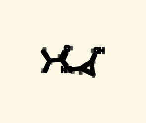 CC(C)C(=O)NC1CC1O